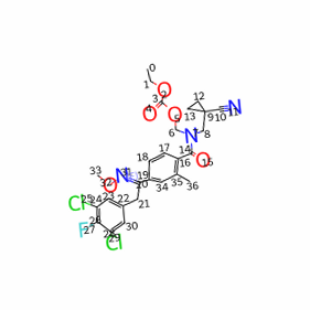 CCOC(=O)OCN(CC1(C#N)CC1)C(=O)c1ccc(/C(Cc2cc(Cl)c(F)c(Cl)c2)=N/OC)cc1C